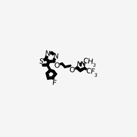 Cn1nc(OCCCOc2ncnc3scc(-c4ccc(F)cc4)c23)cc1C(F)(F)F